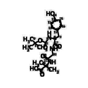 CC(C)(C)OC(=O)N[C@@H](Cc1ccc(O)cc1)C(=O)NCC(=O)NC(C)(C)C(=O)O